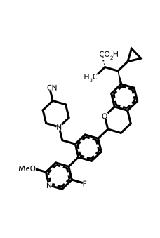 COc1cc(-c2ccc(C3CCc4ccc([C@H](C5CC5)[C@H](C)C(=O)O)cc4O3)cc2CN2CCC(C#N)CC2)c(F)cn1